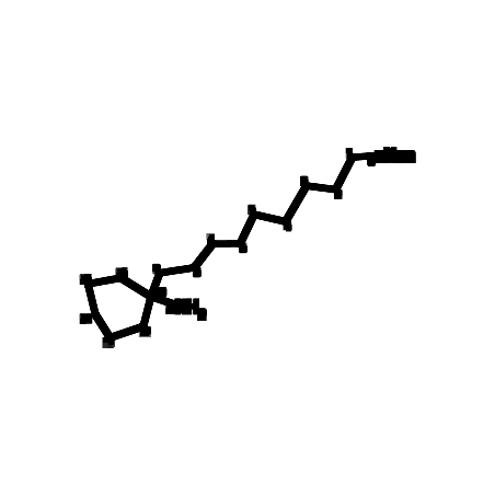 CCCCCCCCCCCCCCCCCCC1(N)CCCCC1